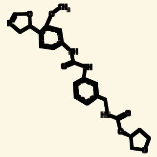 COc1cc(NC(=O)Nc2cccc(CNC(=O)O[C@H]3CCOC3)c2)ccc1C1CN=CO1